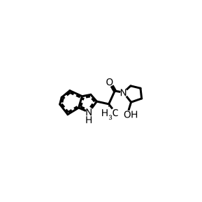 C[C](C(=O)N1CCCC1O)c1cc2ccccc2[nH]1